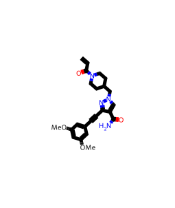 C=CC(=O)N1CCC(Cn2cc(C(N)=O)c(C#Cc3cc(OC)cc(OC)c3)n2)CC1